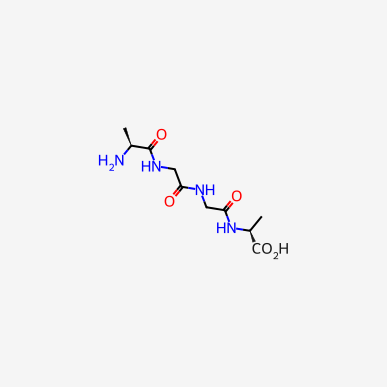 C[C@H](N)C(=O)NCC(=O)NCC(=O)N[C@@H](C)C(=O)O